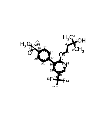 CC(C)(O)CCOc1ncc(C(F)(F)F)cc1-c1ccc(S(C)(=O)=O)cc1